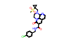 CS(=O)(=O)C1(CN2CCn3c(=O)c(C(=O)NCc4ccc(Cl)cc4)cc4ccnc2c43)CC1